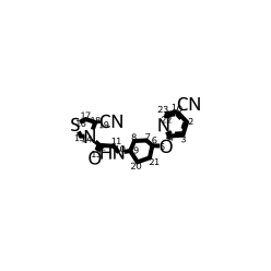 N#Cc1ccc(OC2CCC(NCC(=O)N3CSC[C@H]3C#N)CC2)nc1